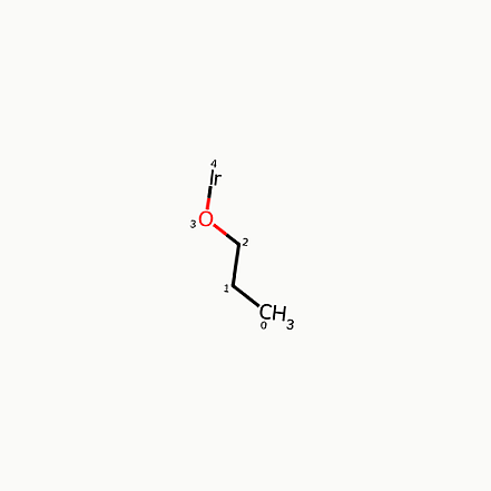 CCC[O][Ir]